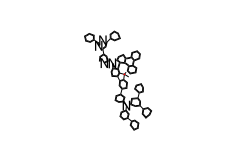 CC1(C)c2ccc(-c3cccc(N(c4cccc(-c5ccccc5)c4)c4cc(-c5ccccc5)cc(-c5ccccc5)c4)c3)cc2-c2ccc3c(c21)c1c2c4ccccc4c4ccccc4c2ccc1n3-c1cc(-c2cc(-c3ccccc3)nc(-c3ccccc3)n2)ccn1